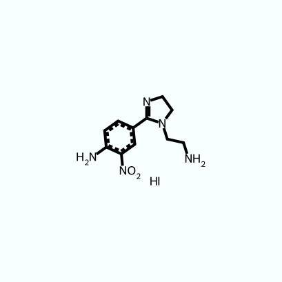 I.NCCN1CCN=C1c1ccc(N)c([N+](=O)[O-])c1